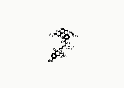 C#CCN(Cc1cnc2nc(N)nc(N)c2n1)c1ccc(C(=O)N[C@@H](CCCNC(=O)c2ccc(C(C)(C)C)cc2-c2nn[nH]n2)C(=O)O)cc1